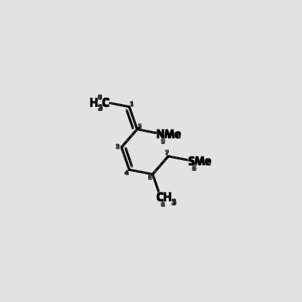 C/C=C(\C=C/C(C)CSC)NC